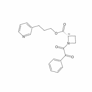 O=C(C(=O)N1CC[C@H]1C(=O)OCCCc1cccnc1)c1ccccc1